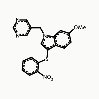 COc1ccc2c(Sc3ccccc3[N+](=O)[O-])cn(Cc3cncnc3)c2c1